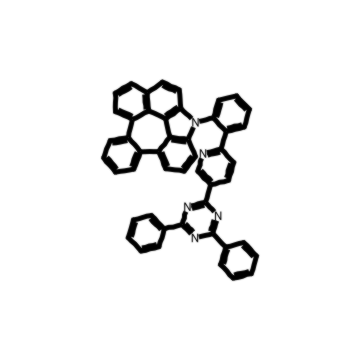 c1ccc(-c2nc(-c3ccccc3)nc(-c3ccc(-c4ccccc4-n4c5cccc6c5c5c7c(cccc7ccc54)-c4ccccc4-6)nc3)n2)cc1